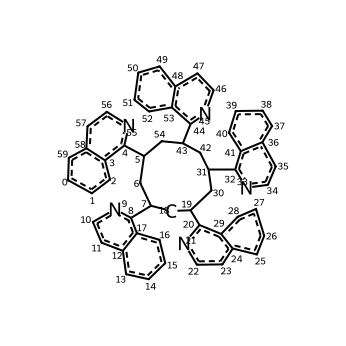 c1ccc2c(C3CC(c4nccc5ccccc45)CC(c4nccc5ccccc45)CC(c4nccc5ccccc45)CC(c4nccc5ccccc45)C3)nccc2c1